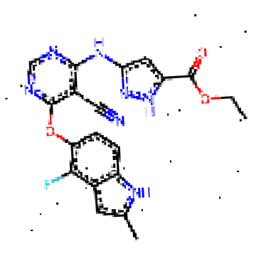 CCOC(=O)c1cc(Nc2ncnc(Oc3ccc4[nH]c(C)cc4c3F)c2C#N)n[nH]1